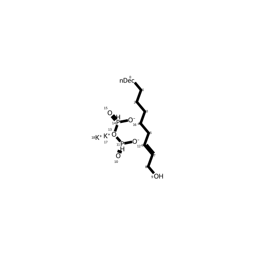 CCCCCCCCCCCCCCCC=CCO.O=[PH]([O-])O[PH](=O)[O-].[K+].[K+]